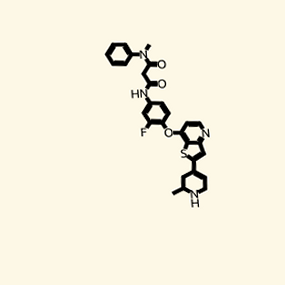 CC1CC(c2cc3nccc(Oc4ccc(NC(=O)CC(=O)N(C)c5ccccc5)cc4F)c3s2)=CCN1